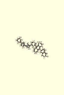 Cc1ccc2cc(-c3c4ccccc4c(-c4cccc(-c5ccc(-c6ccc(-c7ccccc7)s6)s5)c4)c4ccccc34)ccc2c1